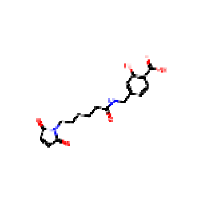 O=C(CCCCCN1C(=O)C=CC1=O)NCc1ccc(C(=O)O)c(O)c1